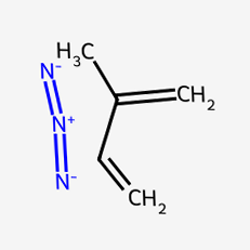 C=CC(=C)C.[N-]=[N+]=[N-]